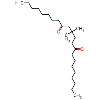 CCCCCCCCC(=O)CCC(C)(C)CC(=O)CCCCCCCC